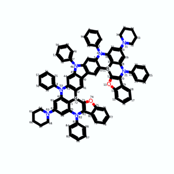 c1ccc(N2c3cc4c(cc3B3c5oc6ccccc6c5N(c5ccccc5)c5cc(N6CCCCC6)cc2c53)c2cc3c(cc2n4-c2ccccc2)N(c2ccccc2)c2cc(N4CCCCC4)cc4c2B3c2oc3ccccc3c2N4c2ccccc2)cc1